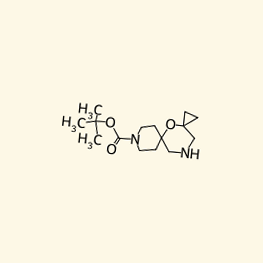 CC(C)(C)OC(=O)N1CCC2(CC1)CNCC1(CC1)O2